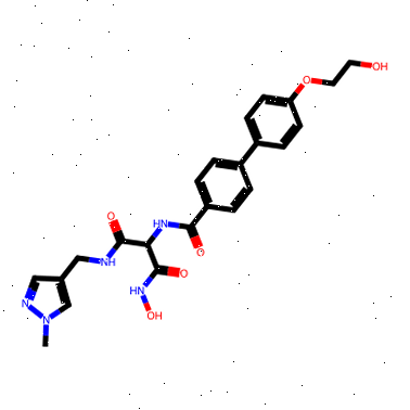 Cn1cc(CNC(=O)C(NC(=O)c2ccc(-c3ccc(OCCO)cc3)cc2)C(=O)NO)cn1